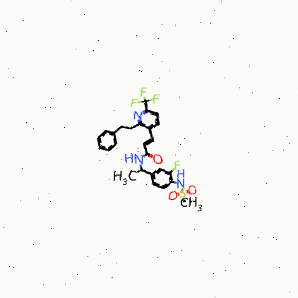 C[C@@H](NC(=O)/C=C/c1ccc(C(F)(F)F)nc1CCc1ccccc1)c1ccc(NS(C)(=O)=O)c(F)c1